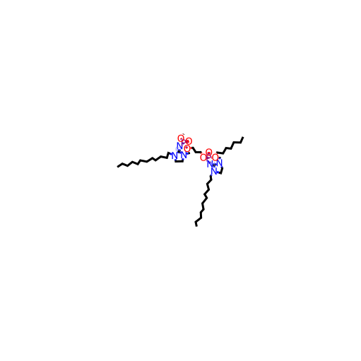 CCCCCCCCCCCCN1CCN(C)/C1=N\P(=O)(OC)OCCCOP(=O)(/N=C1\N(C)CCN1CCCCCCCCCCCC)OCCCCCCC